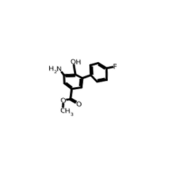 COC(=O)c1cc(N)c(O)c(-c2ccc(F)cc2)c1